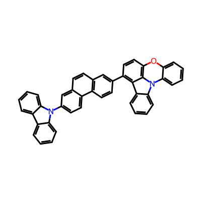 c1ccc2c(c1)Oc1ccc(-c3ccc4c(ccc5cc(-n6c7ccccc7c7ccccc76)ccc54)c3)c3c4ccccc4n-2c13